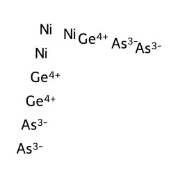 [As-3].[As-3].[As-3].[As-3].[Ge+4].[Ge+4].[Ge+4].[Ni].[Ni].[Ni]